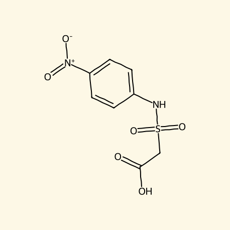 O=C(O)CS(=O)(=O)Nc1ccc([N+](=O)[O-])cc1